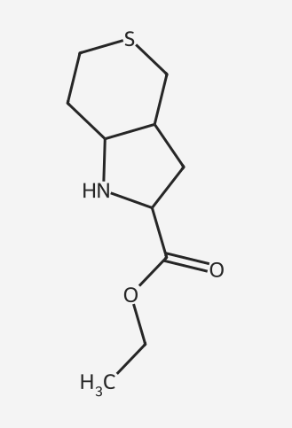 CCOC(=O)C1CC2CSCCC2N1